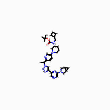 CC(c1ccc(N2CCC[C@@H](N(CC3CCC3)C(=O)OC(C)(C)C)C2)cn1)n1cc(-c2cncc(N3CC4CC4C3)n2)nn1